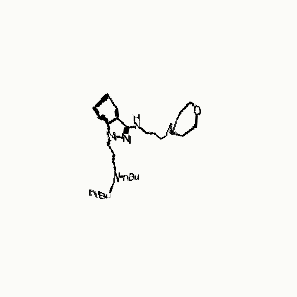 CCCCN(CCCC)CCCn1nc(NCCCN2CCOCC2)c2ccccc21